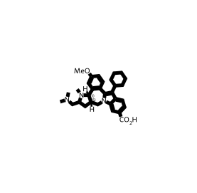 COc1ccc2c(c1)[C@@H]1[C@@H](CC(CN(C)C)N1C)Cn1c-2c(C2CCCCC2)c2ccc(C(=O)O)cc21